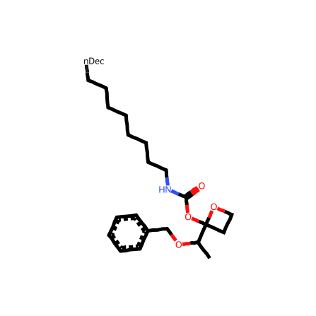 CCCCCCCCCCCCCCCCCCNC(=O)OC1(C(C)OCc2ccccc2)CCO1